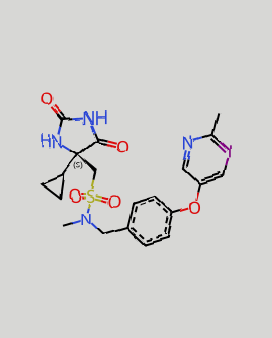 CC1=IC=C(Oc2ccc(CN(C)S(=O)(=O)C[C@@]3(C4CC4)NC(=O)NC3=O)cc2)C=N1